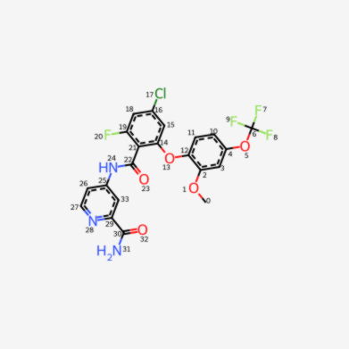 COc1cc(OC(F)(F)F)ccc1Oc1cc(Cl)cc(F)c1C(=O)Nc1ccnc(C(N)=O)c1